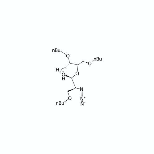 CCCCOCC(O[C@H](O)[C@H](COCCCC)N=[N+]=[N-])[C@H](C)OCCCC